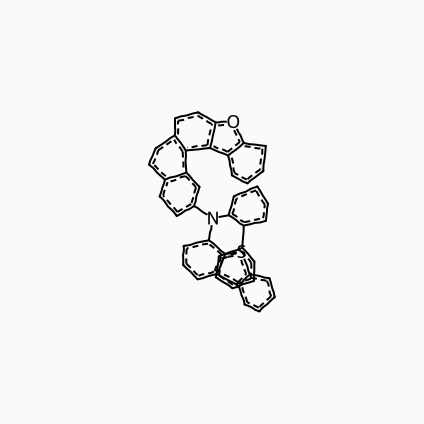 c1ccc(-c2ccccc2N(c2ccc3ccc4ccc5oc6ccccc6c5c4c3c2)c2cccc3c2sc2ccccc23)cc1